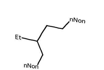 [CH2]CCCCCCCCCCC(CC)CCCCCCCCCC